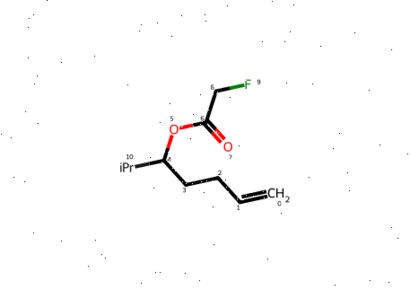 C=CCCC(OC(=O)CF)C(C)C